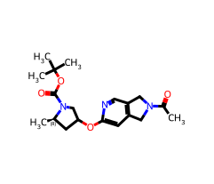 CC(=O)N1Cc2cnc(OC3C[C@@H](C)N(C(=O)OC(C)(C)C)C3)cc2C1